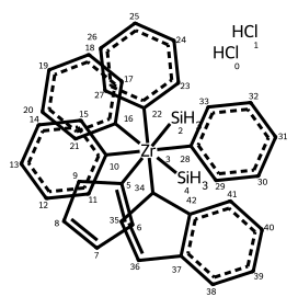 Cl.Cl.[SiH3][Zr]([SiH3])([C]1=CC=CC1)([c]1ccccc1)([c]1ccccc1)([c]1ccccc1)([c]1ccccc1)[CH]1C=Cc2ccccc21